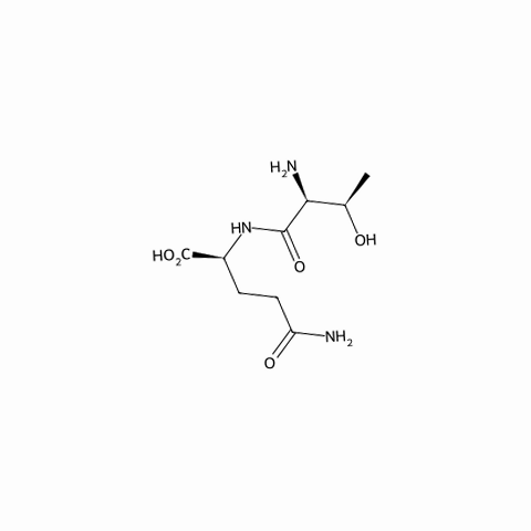 C[C@@H](O)[C@H](N)C(=O)N[C@@H](CCC(N)=O)C(=O)O